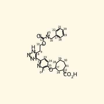 Cc1nc(-c2nn[nH]c2CCOC(=O)N(C)Cc2ccccc2)ccc1OC1CCCCC(C(=O)O)C1